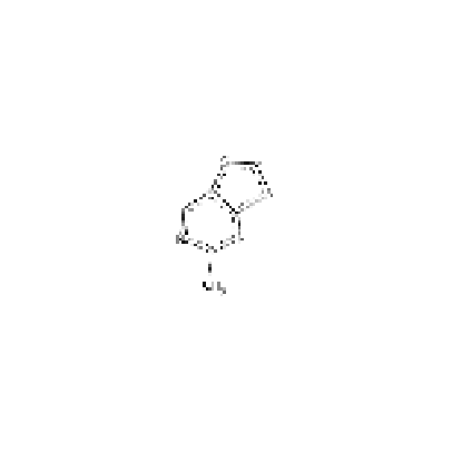 Cc1ncc2s[c]nc2n1